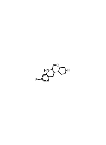 O=CC1Nc2cc(F)ccc2CN1C1CCNCC1